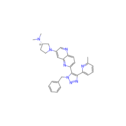 Cc1cccc(-c2nnn(Cc3ccccc3)c2-c2ccc3ncc(N4CC[C@H](N(C)C)C4)cc3n2)n1